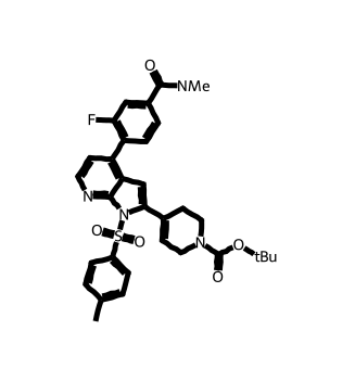 CNC(=O)c1ccc(-c2ccnc3c2cc(C2=CCN(C(=O)OC(C)(C)C)CC2)n3S(=O)(=O)c2ccc(C)cc2)c(F)c1